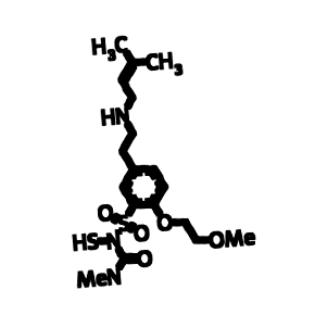 CNC(=O)N(S)S(=O)(=O)c1cc(CCNCC=C(C)C)ccc1OCCOC